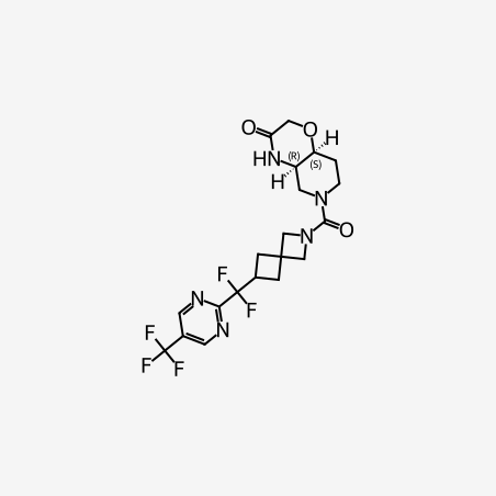 O=C1CO[C@H]2CCN(C(=O)N3CC4(CC(C(F)(F)c5ncc(C(F)(F)F)cn5)C4)C3)C[C@H]2N1